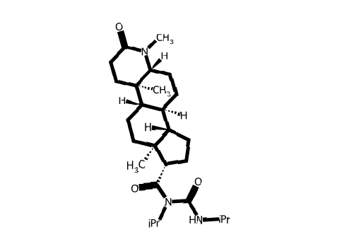 CC(C)NC(=O)N(C(=O)[C@H]1CC[C@H]2[C@@H]3CC[C@H]4N(C)C(=O)CC[C@]4(C)[C@H]3CC[C@]12C)C(C)C